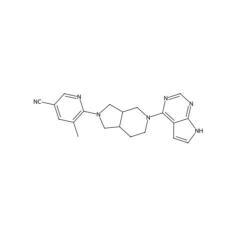 Cc1cc(C#N)cnc1N1CC2CCN(c3ncnc4[nH]ccc34)CC2C1